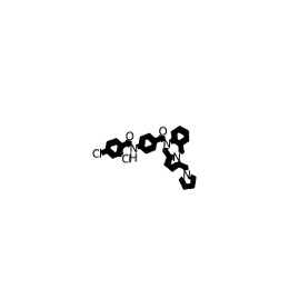 O=C(Nc1ccc(C(=O)N2Cc3ccc(CN4CCCC4)n3Cc3ccccc32)cc1)c1ccc(Cl)cc1Cl